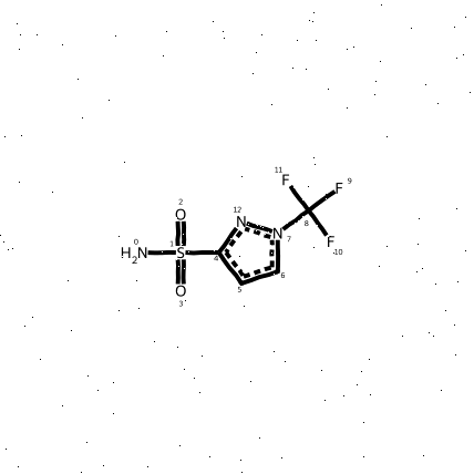 NS(=O)(=O)c1ccn(C(F)(F)F)n1